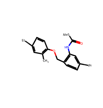 CCc1ccc(OCc2ccc(C(C)C)cc2NC(=O)SC)c(C)c1